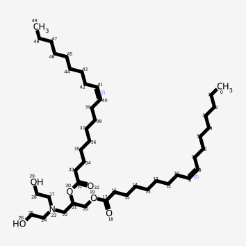 CCCCCCCC/C=C\CCCCCCCC(=O)OCC(CN(CCO)CCO)OC(=O)CCCCCCC/C=C\CCCCCCCC